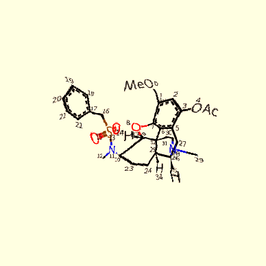 COc1cc(OC(C)=O)c2c3c1O[C@H]1[C@@H](N(C)S(=O)(=O)Cc4ccccc4)CC[C@H]4[C@@H](C2)N(C)CC[C@@]341